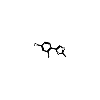 Cc1ncc(-c2ccc(Cl)cc2F)s1